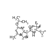 Cc1cc(OC(C)C)nc2c(C(=O)NC(C3CC3)C(F)(F)F)ncn12